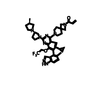 C=CC(=O)N1CC2(CCN(c3nc(N4CC[C@H](N5CC[C@@H](C)C5)C4)nc4c(OCC(F)(F)F)c(-c5c(C)ccc6[nH]ncc56)c(C5CC5)cc34)CC2)C1